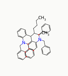 CCCCC(CC)C(c1ccccc1N(Cc1ccccc1)Cc1ccccc1)c1ccccc1N(Cc1ccccc1)Cc1ccccc1